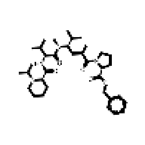 C/C(=C\[C@H](C(C)C)N(C)C(=O)[C@@H](NC(=O)[C@H]1CCCCN1C(C)C)C(C)C)C(=O)N1CCC[C@H]1C(=O)OCc1ccccc1